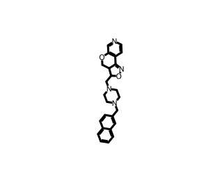 c1ccc2cc(CN3CCN(CC4ON=C5c6ccncc6OCC54)CC3)ccc2c1